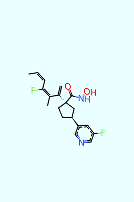 C=C(/C(C)=C(F)\C=C/C)[C@@]1(C(=O)NO)CC[C@H](c2cncc(F)c2)C1